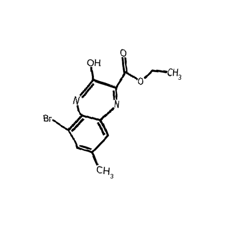 CCOC(=O)c1nc2cc(C)cc(Br)c2nc1O